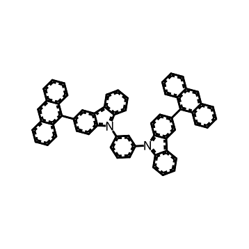 c1cc(-n2c3ccccc3c3cc(-c4c5ccccc5cc5ccccc45)ccc32)cc(-n2c3ccccc3c3cc(-c4c5ccccc5cc5ccccc45)ccc32)c1